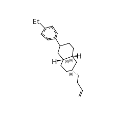 C=CCC[C@@H]1CC[C@@H]2CC(c3ccc(CC)cc3)CC[C@@H]2C1